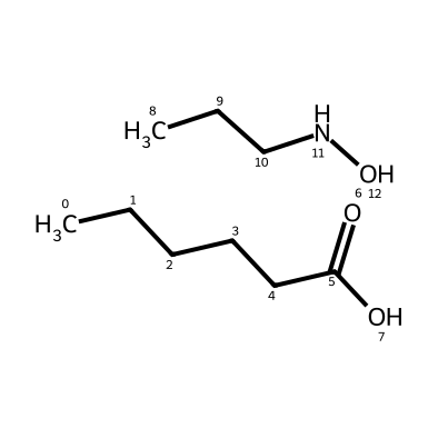 CCCCCC(=O)O.CCCNO